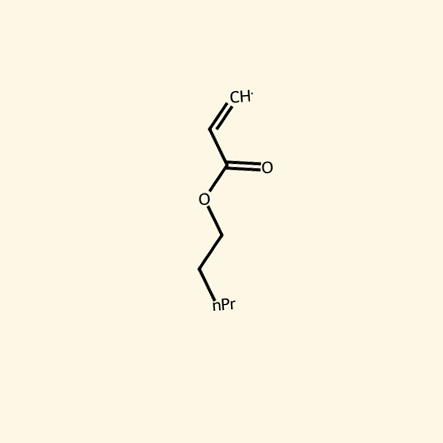 [CH]=CC(=O)OCCCCC